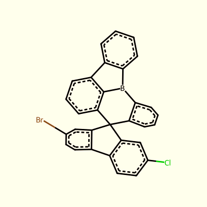 Clc1ccc2c(c1)C1(c3ccccc3B3c4ccccc4-c4cccc1c43)c1cc(Br)ccc1-2